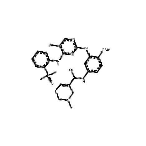 COc1ccc(NC(O)C2=CCCN(C)C2)cc1Nc1ncc(Cl)c(Nc2ccccc2P(C)(C)=O)n1